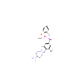 CCS(=O)(=O)c1ccc(Cl)cc1CNC(=O)c1cc(Cl)c(C[N+]2([O-])CCC(N(C)C)CC2)c(C(F)(F)F)c1